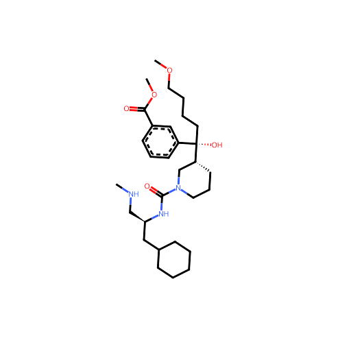 CNC[C@H](CC1CCCCC1)NC(=O)N1CCC[C@@H]([C@](O)(CCCCOC)c2cccc(C(=O)OC)c2)C1